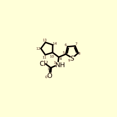 O=C(Cl)NC(c1cccs1)C1CCCC1